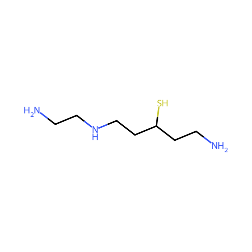 NCCNCCC(S)CCN